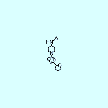 C1COC(c2noc(N3CCC(NC4CC4)CC3)n2)C1